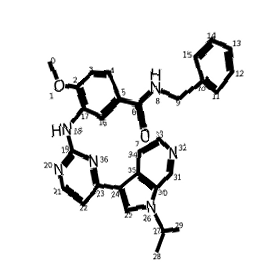 COc1ccc(C(=O)NCc2ccccc2)cc1Nc1nccc(-c2cn(C(C)C)c3cnccc23)n1